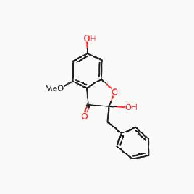 COc1cc(O)cc2c1C(=O)C(O)(Cc1ccccc1)O2